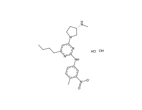 CCCCc1cc(N2CC[C@H](NC)C2)nc(Nc2ccc(C)c([N+](=O)[O-])c2)n1.Cl.Cl